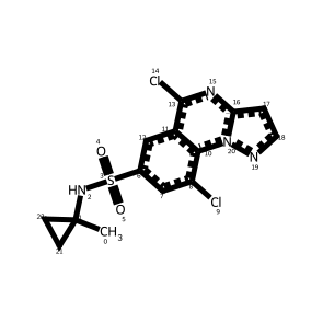 CC1(NS(=O)(=O)c2cc(Cl)c3c(c2)c(Cl)nc2ccnn23)CC1